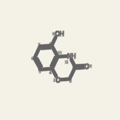 O=C1COc2[c]ccc(O)c2N1